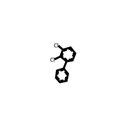 Clc1cccc(-c2cc[c]cc2)c1Cl